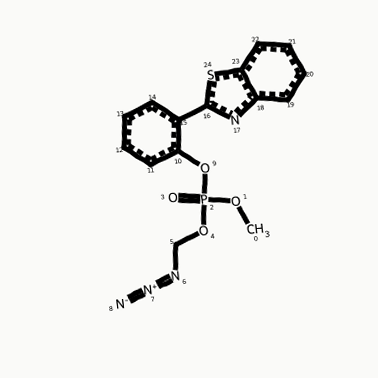 COP(=O)(OCN=[N+]=[N-])Oc1ccccc1-c1nc2ccccc2s1